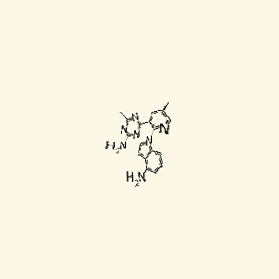 Cc1cnc(-n2ccc3c(N)cccc32)c(-c2nc(C)nc(N)n2)c1